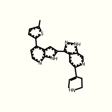 Cc1ccc(-c2ccnc3[nH]c(-c4n[nH]c5cnc(C6=CCNCC6)cc45)cc23)s1